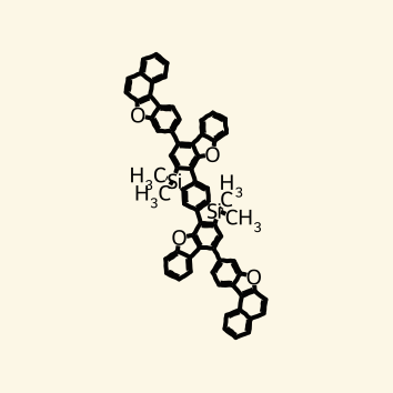 C[Si]1(C)c2cc3c(cc2-c2c1cc(-c1ccc4c(c1)oc1ccc5ccccc5c14)c1c2oc2ccccc21)[Si](C)(C)c1cc(-c2ccc4c(c2)oc2ccc5ccccc5c24)c2c(oc4ccccc42)c1-3